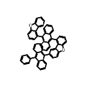 c1ccc(-c2c3ccccc3c(-c3ccc4oc5cccc(-c6c7ccccc7c(-c7cccc8oc9ccccc9c78)c7ccccc67)c5c4c3)c3ccccc23)cc1